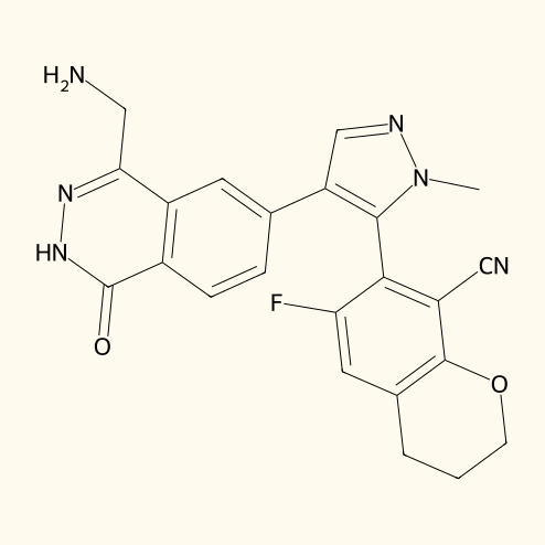 Cn1ncc(-c2ccc3c(=O)[nH]nc(CN)c3c2)c1-c1c(F)cc2c(c1C#N)OCCC2